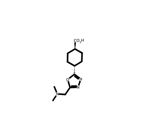 CN(C)Cc1nnc([C@H]2CC[C@H](C(=O)O)CC2)o1